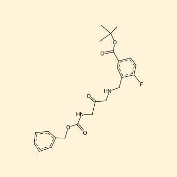 CC(C)(C)OC(=O)c1ccc(F)c(CNCC(=O)CNC(=O)OCc2ccccc2)c1